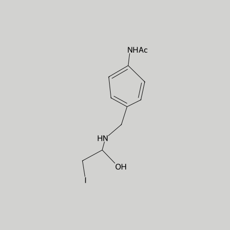 CC(=O)Nc1ccc(CNC(O)CI)cc1